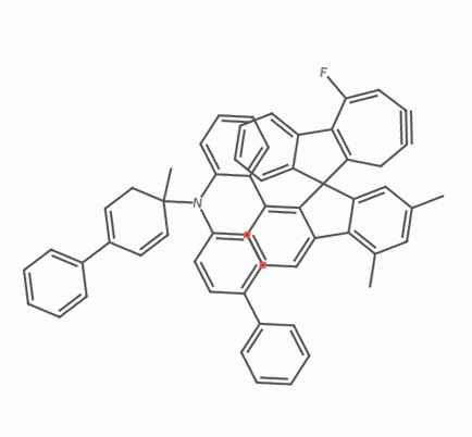 Cc1cc(C)c2c(c1)C1(C3=C(C(F)=CC#CC3)c3ccccc31)c1c(-c3ccccc3N(c3ccc(-c4ccccc4)cc3)C3(C)C=CC(c4ccccc4)=CC3)cccc1-2